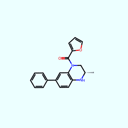 C[C@H]1CN(C(=O)c2ccco2)c2cc(-c3ccccc3)ccc2N1